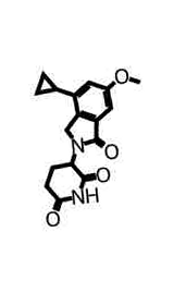 COc1cc2c(c(C3CC3)c1)CN(C1CCC(=O)NC1=O)C2=O